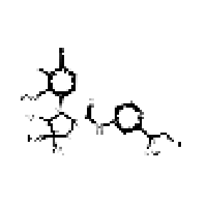 CN[C@H](CO)c1cc(NC(=O)[C@@H]2O[C@@](C)(C(F)(F)F)[C@@H](C)[C@H]2c2ccc(F)c(F)c2OC)ccn1